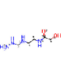 NNCNCCNC(=O)CO